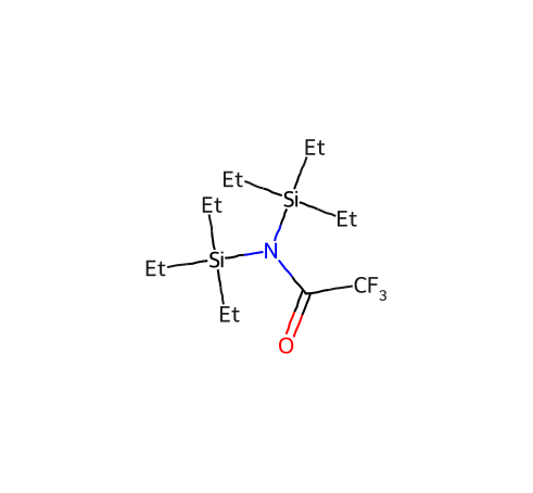 CC[Si](CC)(CC)N(C(=O)C(F)(F)F)[Si](CC)(CC)CC